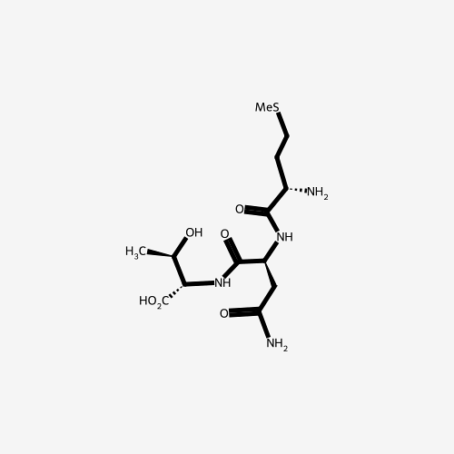 CSCC[C@H](N)C(=O)N[C@@H](CC(N)=O)C(=O)N[C@H](C(=O)O)[C@@H](C)O